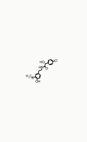 COc1cc(CCNC(=O)[C@H](O)c2ccc(Cl)cc2)ccc1O